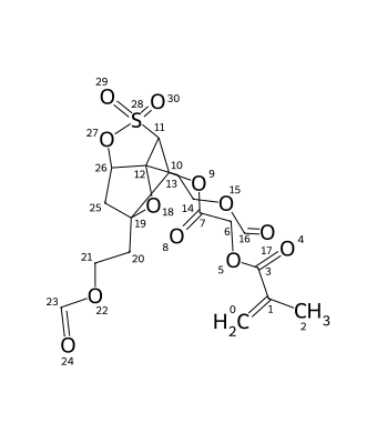 C=C(C)C(=O)OCC(=O)OC1C2C3(CCOC=O)OC1(CCOC=O)CC3OS2(=O)=O